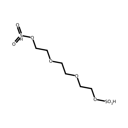 O=[SH](=O)OCCOCCOCCOS(=O)(=O)O